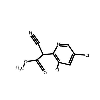 COC(=O)C(C#N)c1ncc(Cl)cc1Cl